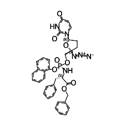 [N-]=[N+]=N[C@@]1(COP(=O)(N[C@@H](Cc2ccccc2)C(=O)OCc2ccccc2)Oc2cccc3ccccc23)CC[C@H](n2ccc(=O)[nH]c2=O)O1